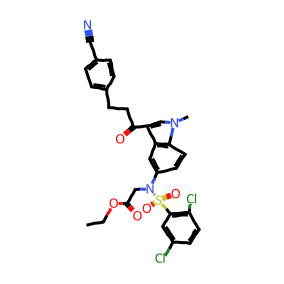 CCOC(=O)CN(c1ccc2c(c1)c(C(=O)CCc1ccc(C#N)cc1)cn2C)S(=O)(=O)c1cc(Cl)ccc1Cl